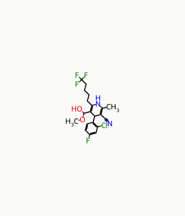 COC(O)C1=C(CCCCC(F)(F)F)NC(C)=C(C#N)C1c1ccc(F)cc1Cl